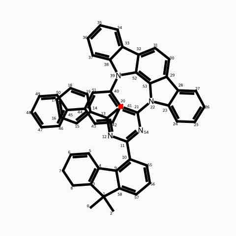 CC1(C)C2=C(C=CCC2)c2c(-c3nc(-c4ccccc4)nc(-n4c5ccccc5c5ccc6c7ccccc7n(-c7cccc(-c8ccccc8)c7)c6c54)n3)cccc21